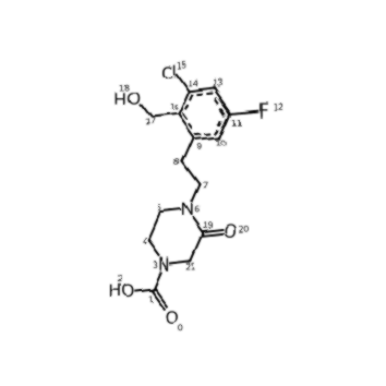 O=C(O)N1CCN(CCc2cc(F)cc(Cl)c2CO)C(=O)C1